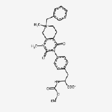 Cn1c2c(c(=O)n(-c3ccc(CC(NC(=O)OC(C)(C)C)C(=O)[O-])cc3)c1=O)CC[N+](C)(Cc1ccccc1)C2